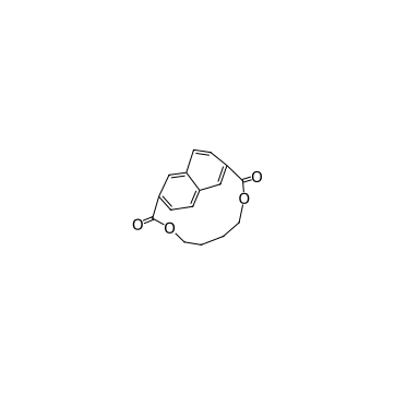 O=C1OCCCCOC(=O)c2ccc3cc1ccc3c2